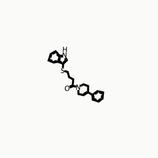 O=C(CCCSc1c[nH]c2ccccc12)N1CC=C(c2ccccc2)CC1